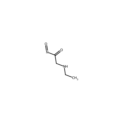 CCNCC(=O)N=O